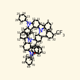 CC(C)c1c(-n2c3ccccc3c3ccc4c(c5ccccc5n4-c4ccccc4)c32)c(-c2ccc(C(F)(F)F)cc2)cc(-c2ccc(C(F)(F)F)cc2)c1-n1c2ccccc2c2ccc3c(c4ccccc4n3-c3ccccc3)c21